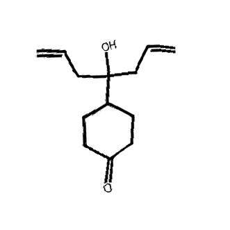 C=CCC(O)(CC=C)C1CCC(=O)CC1